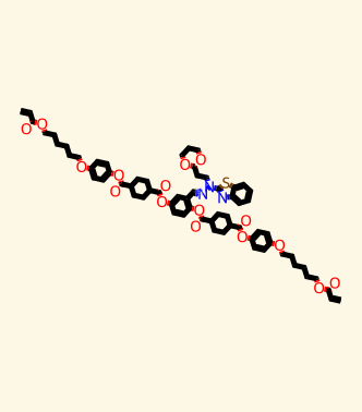 C=CC(=O)OCCCCCCOc1ccc(OC(=O)C2CCC(C(=O)Oc3ccc(OC(=O)C4CCC(C(=O)Oc5ccc(OCCCCCCOC(=O)C=C)cc5)CC4)c(/C=N/N(CCC4OCCCO4)c4nc5ccccc5s4)c3)CC2)cc1